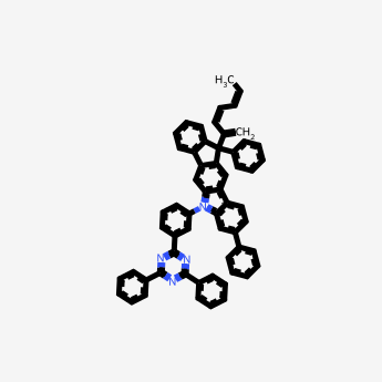 C=C(/C=C\C=C/C)C1(c2ccccc2)c2ccccc2-c2cc3c(cc21)c1ccc(-c2ccccc2)cc1n3-c1cccc(-c2nc(-c3ccccc3)nc(-c3ccccc3)n2)c1